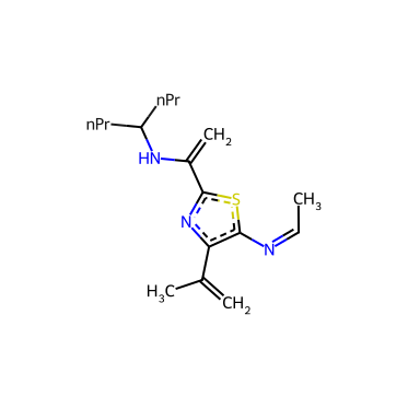 C=C(NC(CCC)CCC)c1nc(C(=C)C)c(/N=C\C)s1